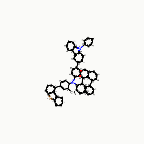 CC1C=C(c2cccc3sc4ccccc4c23)C=CC1N(c1ccc(-c2ccc3c(c2)c2ccccc2n3-c2ccccc2)cc1)c1ccccc1-c1cccc2cccc(-c3ccccc3)c12